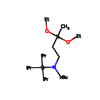 CCCCN(CC[Si](C)(OCC)OCC)[Si](C(C)C)(C(C)C)C(C)C